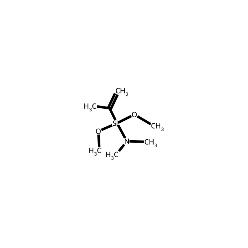 C=C(C)[Si](OC)(OC)N(C)C